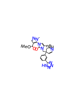 CCCCc1cn(-c2c(C(=O)OC)cnn2C)c(=O)n1CC1(c2cccc(-c3nnn[nH]3)c2)C=CN=CC1